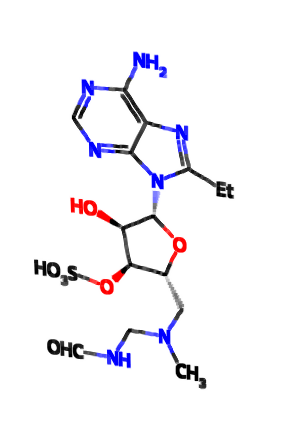 CCc1nc2c(N)ncnc2n1[C@@H]1O[C@H](CN(C)CNC=O)[C@@H](OS(=O)(=O)O)[C@H]1O